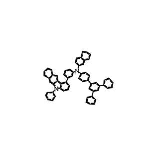 c1ccc(-c2cc(-c3ccccc3)cc(-c3ccc(N(c4cccc(-c5cccc6c5c5cc7ccccc7cc5n6-c5ccccc5)c4)c4ccc5ccccc5c4)cc3)c2)cc1